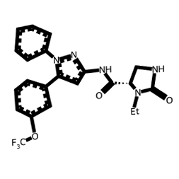 CCN1C(=O)NC[C@H]1C(=O)Nc1cc(-c2cccc(OC(F)(F)F)c2)n(-c2ccccc2)n1